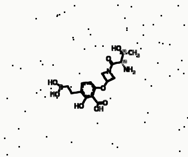 C[C@@H](O)[C@H](N)C(=O)N1CC(Oc2ccc(CCB(O)O)c(O)c2C(=O)O)C1